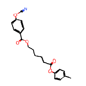 Cc1ccc(OC(=O)CCCCCOC(=O)c2ccc(OC#N)cc2)cc1